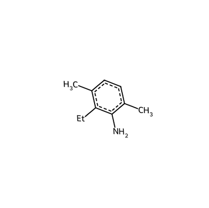 CCc1c(C)ccc(C)c1N